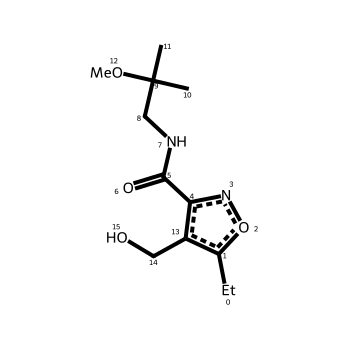 CCc1onc(C(=O)NCC(C)(C)OC)c1CO